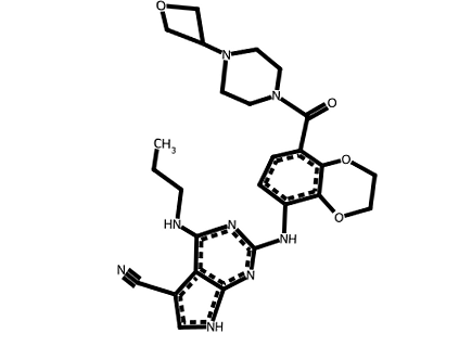 CCCNc1nc(Nc2ccc(C(=O)N3CCN(C4COC4)CC3)c3c2OCCO3)nc2[nH]cc(C#N)c12